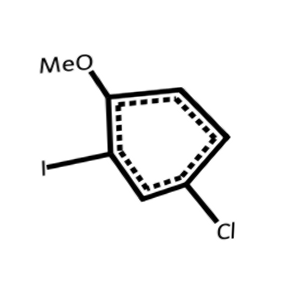 COc1ccc(Cl)cc1I